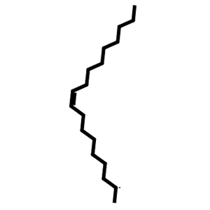 C[CH]CCCCCC/C=C\CCCCCCCC